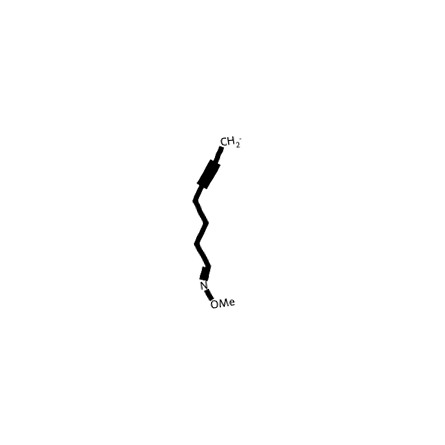 [CH2]C#CCCCC=NOC